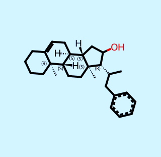 CC(Cc1ccccc1)[C@H]1C(O)C[C@H]2[C@@H]3CC=C4CCCC[C@]4(C)[C@H]3CC[C@]12C